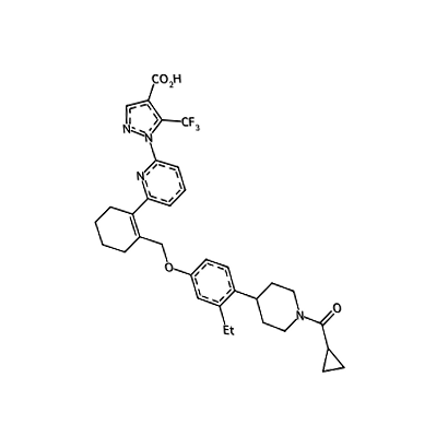 CCc1cc(OCC2=C(c3cccc(-n4ncc(C(=O)O)c4C(F)(F)F)n3)CCCC2)ccc1C1CCN(C(=O)C2CC2)CC1